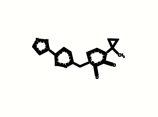 CC1(n2ccn(Cc3ccc(-n4ccnn4)nn3)c(=O)c2=O)CC1